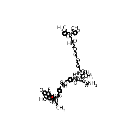 C=Cc1ccccc1N(Cc1ccccc1CC)C(=O)CCC(=O)NCCOCCOCCOCCOCCC(=O)N[C@H](C(=O)N[C@@H](CCCNC(N)=O)C(=O)Nc1ccc(COC(=O)NCc2ccc(C(=O)OCC(=O)[C@@]34OC(CCC)O[C@@H]3C[C@H]3[C@@H]5C[C@H](F)C6=CC(=O)C=C[C@]6(C)[C@@]5(F)[C@@H](O)C[C@@]34C)cc2)cc1)C(C)C